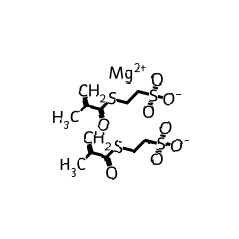 C=C(C)C(=O)SCCS(=O)(=O)[O-].C=C(C)C(=O)SCCS(=O)(=O)[O-].[Mg+2]